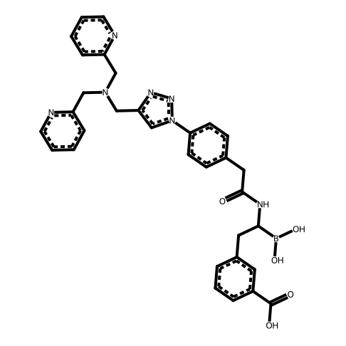 O=C(Cc1ccc(-n2cc(CN(Cc3ccccn3)Cc3ccccn3)nn2)cc1)NC(Cc1cccc(C(=O)O)c1)B(O)O